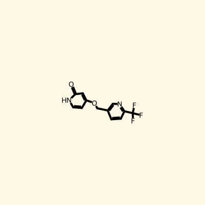 O=c1cc(OCc2ccc(C(F)(F)F)nc2)cc[nH]1